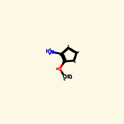 NC1=C(OC=O)CCC1